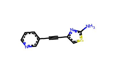 Nc1nc(C#Cc2cccnc2)cs1